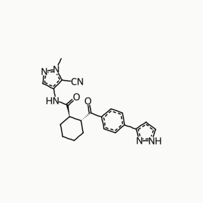 Cn1ncc(NC(=O)[C@@H]2CCCC[C@H]2C(=O)c2ccc(-c3cc[nH]n3)cc2)c1C#N